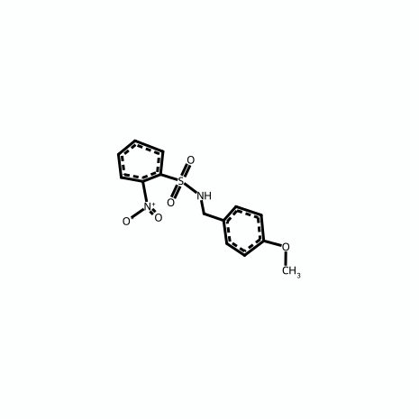 COc1ccc(CNS(=O)(=O)c2ccccc2[N+](=O)[O-])cc1